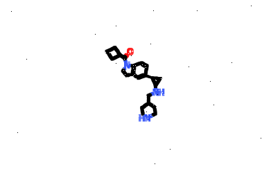 O=C(C1CCC1)N1CCc2cc([C@H]3CC3NCC3CCNCC3)ccc21